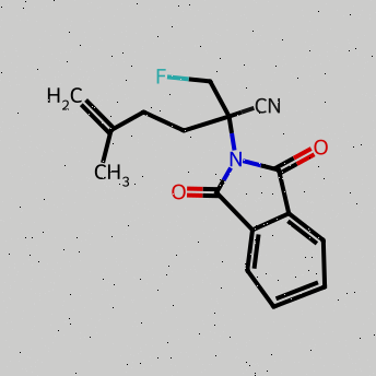 C=C(C)CCC(C#N)(CF)N1C(=O)c2ccccc2C1=O